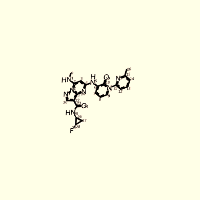 CNc1cc(Nc2cccn(-c3cccc(C)n3)c2=O)nc2c(C(=O)N[C@H]3C[C@H]3F)cnn12